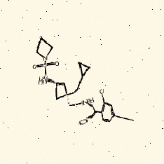 Cc1ccc(C(=O)NC[C@]2(CC3CC3)C[C@@H](NS(=O)(=O)N3CCC3)C2)c(Cl)c1